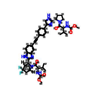 COC(=O)N[C@H](C(=O)N1CCC[C@H]1c1nc(-c2ccc(C#Cc3ccc4[nH]c([C@@H]5[C@@H]6C[C@@H](CC6(F)F)N5C(=O)[C@@H](NC(=O)OC)C(C)C)nc4c3)cc2)c[nH]1)C(C)C